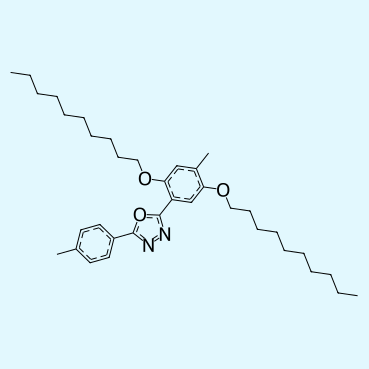 CCCCCCCCCCOc1cc(-c2nnc(-c3ccc(C)cc3)o2)c(OCCCCCCCCCC)cc1C